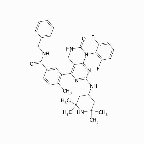 Cc1ccc(C(=O)NCc2ccccc2)cc1-c1nc(NC2CC(C)(C)NC(C)(C)C2)nc2c1CNC(=O)N2c1c(F)cccc1F